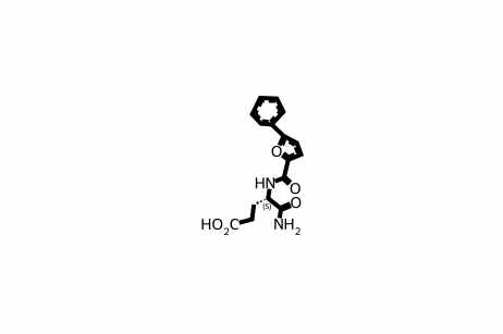 NC(=O)[C@H](CCC(=O)O)NC(=O)c1ccc(-c2ccccc2)o1